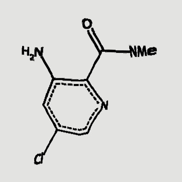 CNC(=O)c1ncc(Cl)cc1N